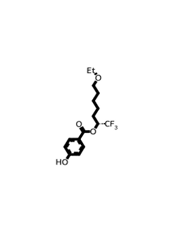 CCOCCCCC[C@@H](OC(=O)c1ccc(O)cc1)C(F)(F)F